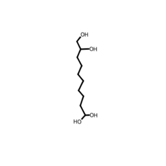 OCC(O)CCCCCCCC(O)O